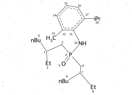 CCCCC(CC)CP(=O)(CC(CC)CCCC)Nc1c(C)cccc1C(C)C